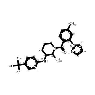 Cc1ccc(C(=O)N2CCCC(Nc3ccc(C(F)(F)F)cn3)C2C)c(-n2nccn2)c1